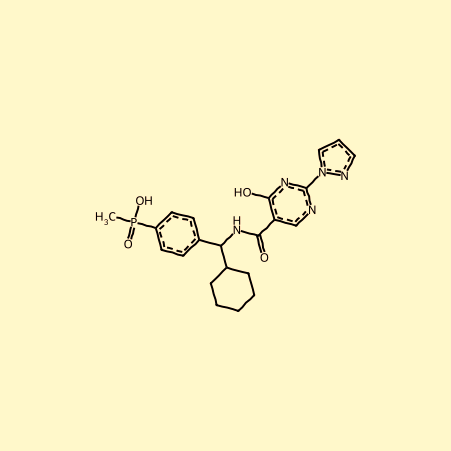 CP(=O)(O)c1ccc(C(NC(=O)c2cnc(-n3cccn3)nc2O)C2CCCCC2)cc1